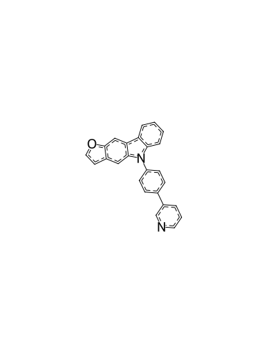 c1cncc(-c2ccc(-n3c4ccccc4c4cc5occc5cc43)cc2)c1